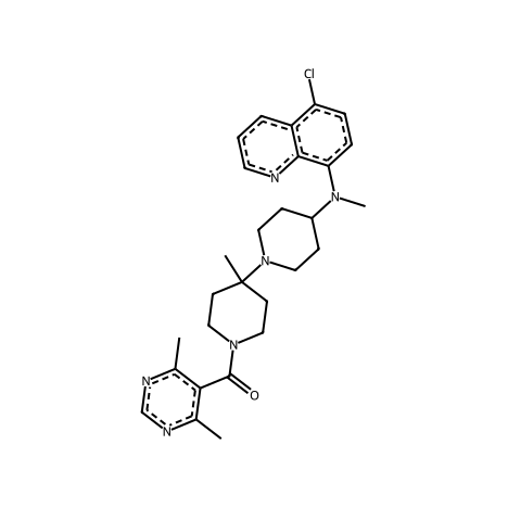 Cc1ncnc(C)c1C(=O)N1CCC(C)(N2CCC(N(C)c3ccc(Cl)c4cccnc34)CC2)CC1